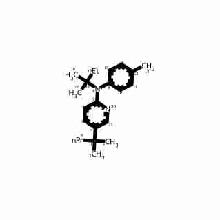 CCCC(C)(C)c1ccc(N(c2ccc(C)cc2)C(C)(C)CC)nc1